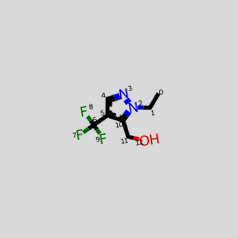 CCn1ncc(C(F)(F)F)c1CO